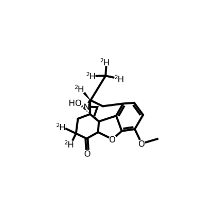 [2H]C1([2H])C[C@]2(O)[C@@]34CCN(C([2H])([2H])[2H])[C@]2([2H])Cc2ccc(OC)c(c23)OC4C1=O